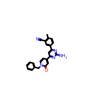 Cc1ccc(-c2cc(-c3ccn(Cc4ccccc4)c(=O)c3)nc(N)n2)cc1C#N